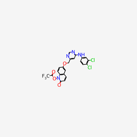 O=C(On1c(=O)ccc2cc(OCc3cc(Nc4ccc(Cl)c(Cl)c4)ncn3)ccc21)C(F)(F)F